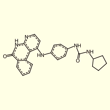 O=C(Nc1ccc(Nc2ccnc3[nH]c(=O)c4ccccc4c23)cc1)NC1CCCC1